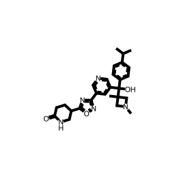 CC(C)c1ccc(C(O)(c2cncc(-c3noc(C4CCC(=O)NC4)n3)c2)C2(C)CN(C)C2)cc1